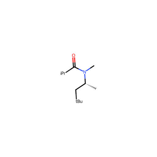 CC(C)C(=O)N(C)[C@H](C)CC(C)(C)C